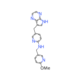 COc1ccc(CNc2ccc(Cc3c[nH]c4nccnc34)cn2)cn1